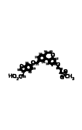 CS(=O)(=O)CCCOc1ccc2c(c1)OCCc1ccc(COc3ccc4c(c3)OC[C@H]4CC(=O)O)cc1-2